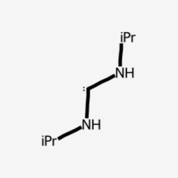 CC(C)N[C]NC(C)C